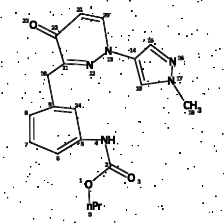 CCCOC(=O)Nc1cccc(Cc2nn(-c3cnn(C)c3)ccc2=O)c1